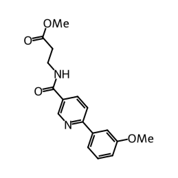 COC(=O)CCNC(=O)c1ccc(-c2cccc(OC)c2)nc1